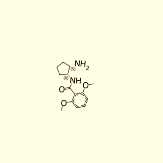 COc1cccc(OC)c1C(=O)N[C@@H]1CCC[C@@H]1N